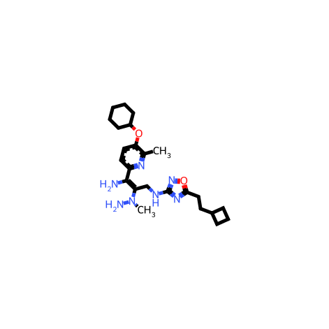 Cc1nc(/C(N)=C(\CNc2noc(CCC3CCC3)n2)N(C)N)ccc1OC1CCCCC1